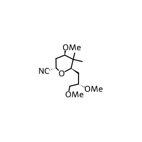 COC[C@H](C[C@H]1O[C@H](C#N)C[C@@H](OC)C1(C)C)OC